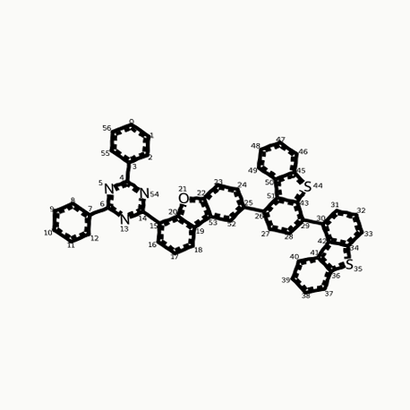 c1ccc(-c2nc(-c3ccccc3)nc(-c3cccc4c3oc3ccc(-c5ccc(-c6cccc7sc8ccccc8c67)c6sc7ccccc7c56)cc34)n2)cc1